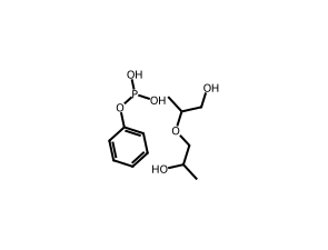 CC(O)COC(C)CO.OP(O)Oc1ccccc1